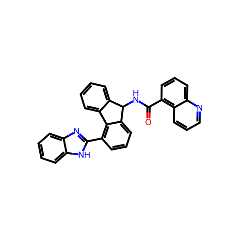 O=C(NC1c2ccccc2-c2c(-c3nc4ccccc4[nH]3)cccc21)c1cccc2ncccc12